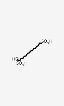 O=S(=O)(O)CCCCCCCCCCCCCCCC(O)S(=O)(=O)O